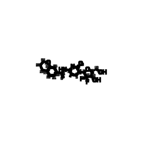 C=C(Nc1ccn(C2O[C@H](CO)[C@@H](O)C2(F)F)c(=O)n1)c1ccc2c(c1)OCCC2